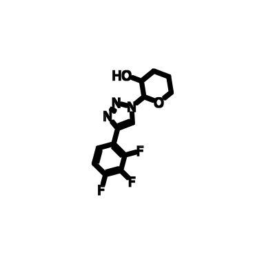 OC1CCCOC1n1cc(-c2ccc(F)c(F)c2F)nn1